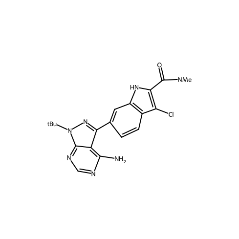 CNC(=O)c1[nH]c2cc(-c3nn(C(C)(C)C)c4ncnc(N)c34)ccc2c1Cl